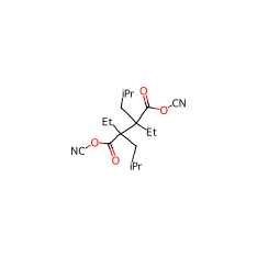 CCC(CC(C)C)(C(=O)OC#N)C(CC)(CC(C)C)C(=O)OC#N